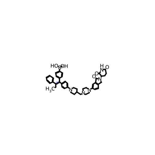 CC/C(=C(/c1ccc(B(O)O)cc1)c1ccc(N2CCC(CN3CCN(c4ccc5c(c4)C(=O)N(C4CCC(=O)NC4=O)C5)CC3)CC2)cc1)c1ccccc1